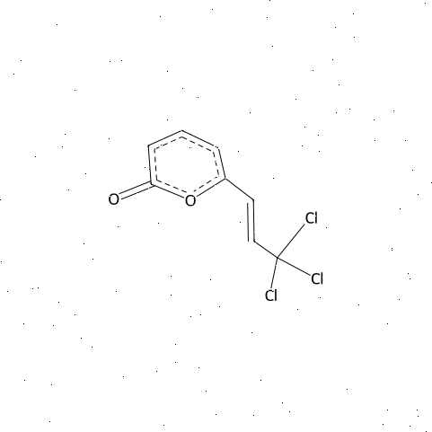 O=c1cccc(C=CC(Cl)(Cl)Cl)o1